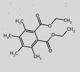 CCOC(=O)c1c(C)c(C)c(C)c(C)c1C(=O)OCC